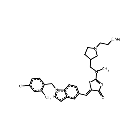 COCCN1CCC(CN(C)C2=NC(=O)/C(=C/c3ccc4c(cnn4Cc4ccc(Cl)cc4C(F)(F)F)c3)S2)C1